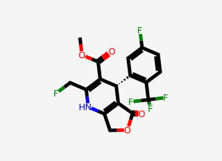 COC(=O)C1=C(CF)NC2=C(C(=O)OC2)[C@H]1c1cc(F)ccc1C(F)(F)F